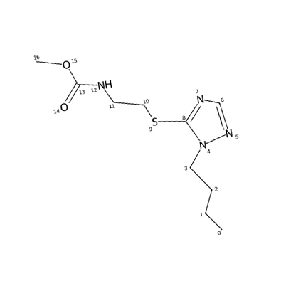 CCCCn1ncnc1SCCNC(=O)OC